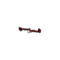 O=C(C#CC(=O)NCCOCCOCCOCCC(=O)ON1C(=O)CCC1=O)NCCOCCOCCOCCC(=O)ON1C(=O)CCC1=O